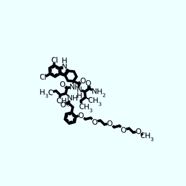 CCC(C)[C@H](NC(=O)Cc1ccccc1OCCOCCOCCOCCOC)C(=O)N[C@]1(C(=O)NC(C(N)=O)[C@@H](C)CC)CCc2[nH]c3c(Cl)cc(Cl)cc3c2C1